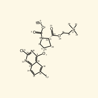 CC(C)(C)OC(=O)N1C[C@@H](Oc2nc(Cl)nc3ccc(I)cc23)C[C@H]1C(=O)OCC[Si](C)(C)C